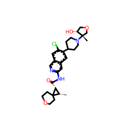 C[C@H]1[C@@H](C(=O)Nc2cc3cc(C4CCN([C@@]5(C)COC[C@H]5O)CC4)c(Cl)cc3cn2)C12CCOCC2